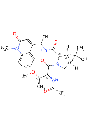 C[C@@H](OC(C)(C)C)[C@H](NC(=O)C(F)(F)F)C(=O)N1C[C@H]2[C@@H]([C@H]1C(=O)NC(C#N)c1cc(=O)n(C)c3ccccc13)C2(C)C